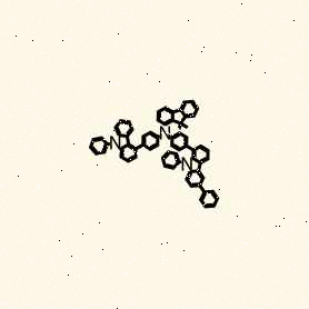 CC1(C)c2ccccc2-c2cccc(N(c3ccc(-c4cccc5c4c4ccccc4n5-c4ccccc4)cc3)c3ccc(-c4cccc5c6cc(-c7ccccc7)ccc6n(-c6ccccc6)c45)cc3)c21